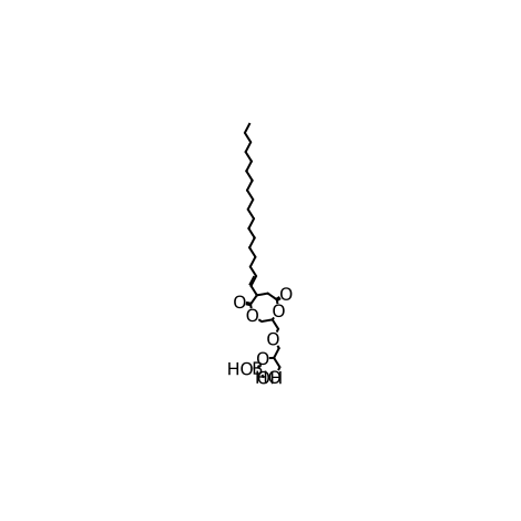 CCCCCCCCCCCCCCCCC=CC1CC(=O)OC(COCC(CO)OB(O)O)COC1=O